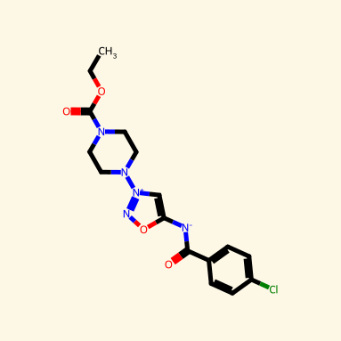 CCOC(=O)N1CCN([n+]2cc([N-]C(=O)c3ccc(Cl)cc3)on2)CC1